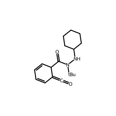 CC(C)(C)N(NC1CCCCC1)C(=O)C1C=CC=CC1=C=O